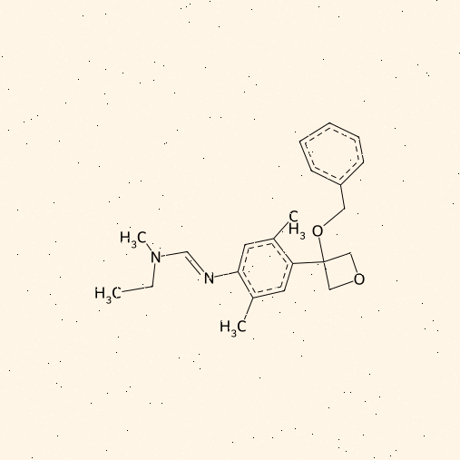 CCN(C)C=Nc1cc(C)c(C2(OCc3ccccc3)COC2)cc1C